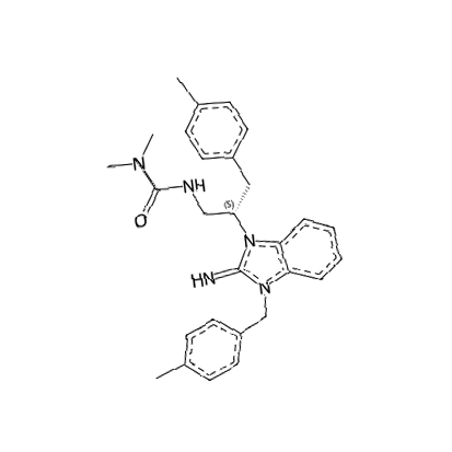 Cc1ccc(C[C@@H](CNC(=O)N(C)C)n2c(=N)n(Cc3ccc(C)cc3)c3ccccc32)cc1